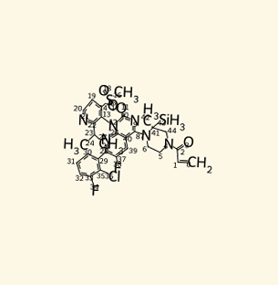 C=CC(=O)N1CCN(c2nc(=O)n(-c3c(S(C)(=O)=O)ccnc3C(C)C)c3nc(-c4cccc(F)c4Cl)c(F)cc23)[C@@](C)([SiH3])C1